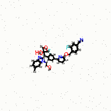 COCCn1c([C@H](c2ccc(-c3cccc(OCc4ccc(C#N)cc4F)n3)cc2F)C2(O)COC2)nc2ccc(C)cc21